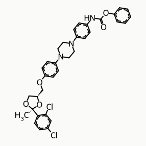 C[C@]1(c2ccc(Cl)cc2Cl)OC[C@@H](COc2ccc(N3CCN(c4ccc(NC(=O)Oc5ccccc5)cc4)CC3)cc2)O1